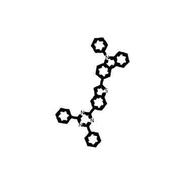 c1ccc(-c2nc(-c3ccccc3)nc(-c3ccc4sc(-c5ccc6c(c5)c5ccccc5n6-c5ccccc5)cc4c3)n2)cc1